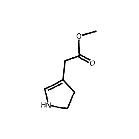 COC(=O)CC1=CNCC1